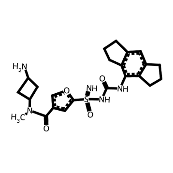 CN(C(=O)c1coc(S(=N)(=O)NC(=O)Nc2c3c(cc4c2CCC4)CCC3)c1)C1CC(N)C1